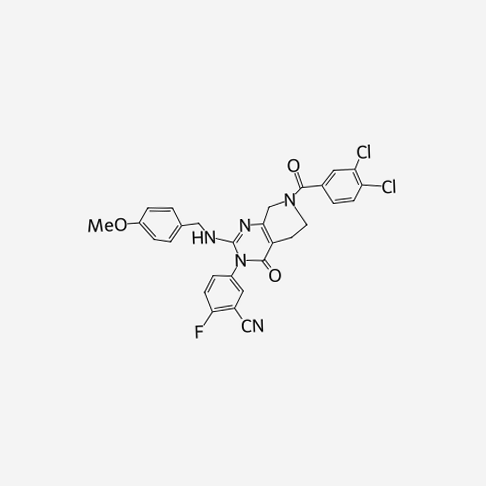 COc1ccc(CNc2nc3c(c(=O)n2-c2ccc(F)c(C#N)c2)CCN(C(=O)c2ccc(Cl)c(Cl)c2)C3)cc1